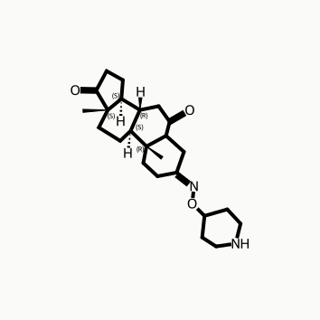 C[C@]12CCC(=NOC3CCNCC3)CC1C(=O)C[C@@H]1[C@@H]2CC[C@]2(C)C(=O)CC[C@@H]12